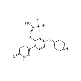 O=C(O)C(F)(F)F.O=C1CCC(c2ccc(OC3CCNCC3)cc2F)=NN1